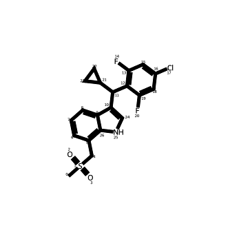 CS(=O)(=O)Cc1cccc2c(C(c3c(F)cc(Cl)cc3F)C3CC3)c[nH]c12